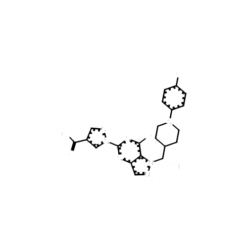 C[C@@H](C1CCN(c2ccc(Cl)cc2)CC1)n1ncc2nc(-n3cc(C(=O)O)cn3)nc(O)c21